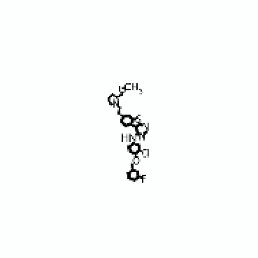 COCC1CCCN1CCc1ccc2c(c1)sc1ncnc(Nc3ccc(OCc4cccc(F)c4)c(Cl)c3)c12